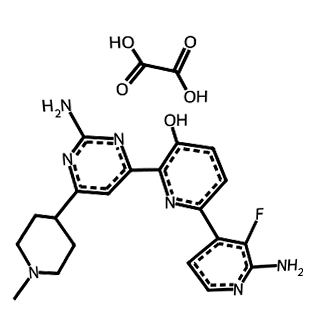 CN1CCC(c2cc(-c3nc(-c4ccnc(N)c4F)ccc3O)nc(N)n2)CC1.O=C(O)C(=O)O